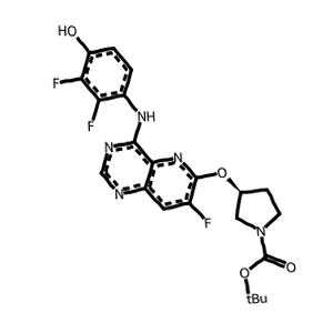 CC(C)(C)OC(=O)N1CC[C@H](Oc2nc3c(Nc4ccc(O)c(F)c4F)ncnc3cc2F)C1